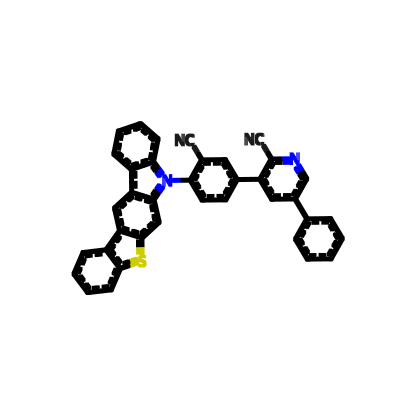 N#Cc1cc(-c2cc(-c3ccccc3)cnc2C#N)ccc1-n1c2ccccc2c2cc3c(cc21)sc1ccccc13